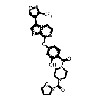 O=C(c1ccc(Oc2nccn3c(-c4conc4C(F)(F)F)cnc23)cc1O)N1CCN(C(=O)[C@H]2CCCO2)CC1